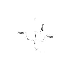 C=CC[N+](CC=C)(CC=C)CCCCCCCC.[Br-]